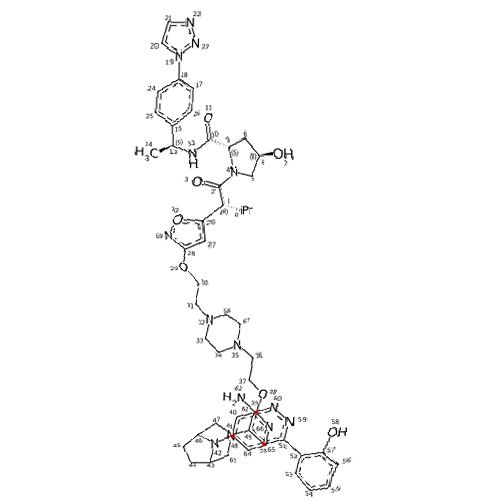 CC(C)[C@@H](C(=O)N1C[C@H](O)C[C@H]1C(=O)N[C@@H](C)c1ccc(-n2ccnn2)cc1)c1cc(OCCN2CCN(CCOc3cc(N4C5CCC4CN(c4cc(-c6ccccc6O)nnc4N)C5)ccn3)CC2)no1